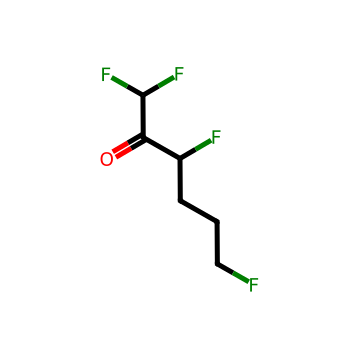 O=C(C(F)F)C(F)CCCF